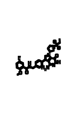 CCS(=O)(=O)N1CC[C@@H](n2cc(-c3ccc(CNC(=O)c4cc(F)ccc4OC)cc3)c3c(N)n[nH]c(=O)c32)C1